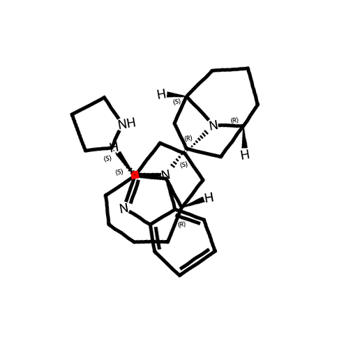 c1ccc2c(c1)nc([C@@H]1CCCN1)n2[C@H]1C[C@H]2CCC[C@@H](C1)N2[C@@H]1C[C@@H]2CCCC[C@@H](C2)C1